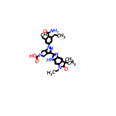 CCc1cc(-n2nc(-c3nc4cc5c(cc4[nH]3)N(CC)C(=O)C5(C)C)c3c2CN(C(=O)O)C3)cc(CC)c1C(N)=O